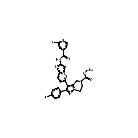 CC(C)(C)OC(=O)N1CCn2nc(-c3ccc(F)cc3)c(-c3ccc4nc(NC(=O)c5ccnc(F)c5)cn4n3)c2C1